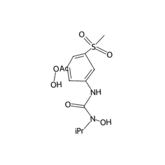 CC(=O)OO.CC(C)N(O)C(=O)Nc1cccc(S(C)(=O)=O)c1